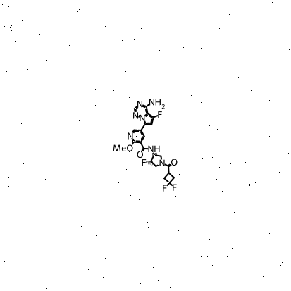 COc1ncc(-c2cc(F)c3c(N)ncnn23)cc1C(=O)N[C@@H]1CN(C(=O)C2CC(F)(F)C2)C[C@@H]1F